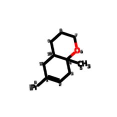 CC(C)C1=CCC2(C)OCCCC2C1